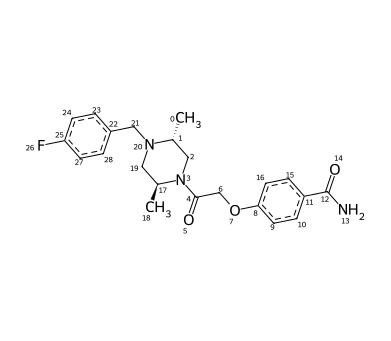 C[C@@H]1CN(C(=O)COc2ccc(C(N)=O)cc2)[C@@H](C)CN1Cc1ccc(F)cc1